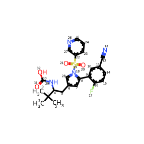 CC(C)(C)C(Cc1cc(-c2cc(C#N)ccc2F)n(S(=O)(=O)c2cccnc2)c1)NC(=O)O